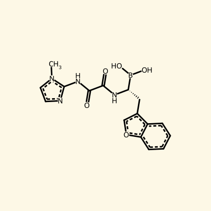 Cn1ccnc1NC(=O)C(=O)N[C@@H](Cc1coc2ccccc12)B(O)O